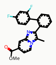 COC(=O)c1ccn2c(C)c(-c3ccccc3-c3ccc(F)cc3F)nc2c1